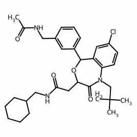 CC(=O)NCc1cccc(C2OC(CC(=O)NCC3CCCCC3)C(=O)N(CC(C)(C)C)c3ccc(Cl)cc32)c1